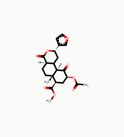 COC(=O)[C@@H]1C[C@H](OC(C)=O)C(=O)[C@@H]2C3C[C@@H](c4ccoc4)OC(=O)[C@@H]3CC[C@]21C